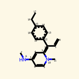 C=C/C(=C1/C=C(NC)C=CN1C)c1ccc(CC)cc1